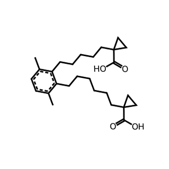 Cc1ccc(C)c(CCCCCC2(C(=O)O)CC2)c1CCCCCCC1(C(=O)O)CC1